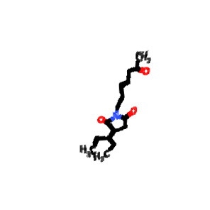 CCC(CC)C1CC(=O)N(CCCCCC(C)=O)C1=O